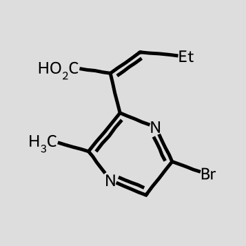 CC/C=C(/C(=O)O)c1nc(Br)cnc1C